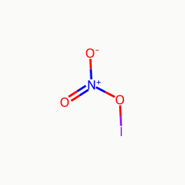 O=[N+]([O-])OI